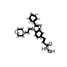 O=C(C=Cc1ccc2c(c1)nc(-c1ccccc1)n2CCN1CCOCC1)NO